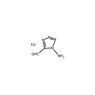 Nn1cnnc1C=O.[Co]